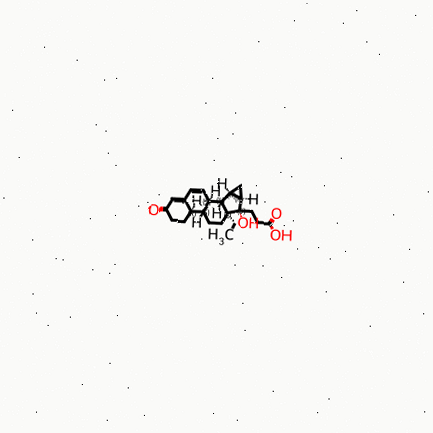 CC[C@]12CC[C@H]3[C@@H](C=CC4=CC(=O)CC[C@@H]43)[C@@H]1[C@H]1C[C@H]1[C@@]2(O)CCC(=O)O